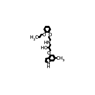 C=CCOc1ccccc1OCCNCC(O)COc1cc(C)cc2[nH]ccc12